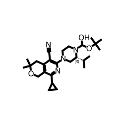 CC(C)[C@@H]1CN(c2nc(C3CC3)c3c(c2C#N)CC(C)(C)OC3)CCN1C(O)OC(C)(C)C